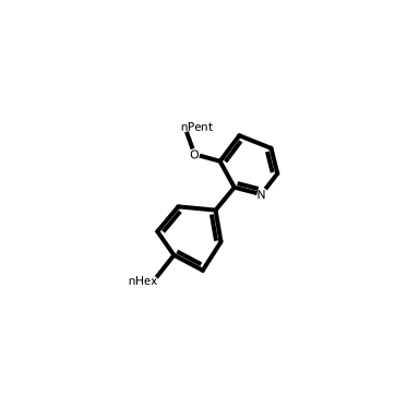 CCCCCCc1ccc(-c2ncccc2OCCCCC)cc1